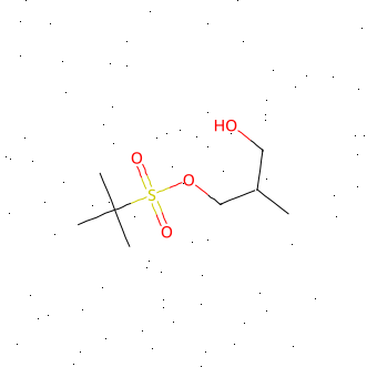 CC(CO)COS(=O)(=O)C(C)(C)C